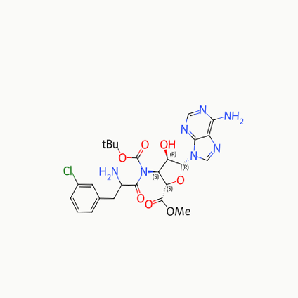 COC(=O)[C@H]1O[C@@H](n2cnc3c(N)ncnc32)[C@H](O)[C@@H]1N(C(=O)OC(C)(C)C)C(=O)C(N)Cc1cccc(Cl)c1